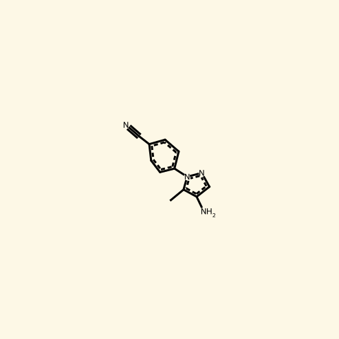 Cc1c(N)cnn1-c1ccc(C#N)cc1